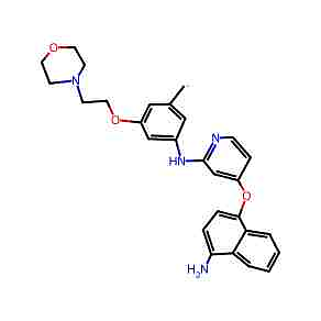 [CH2]c1cc(Nc2cc(Oc3ccc(N)c4ccccc34)ccn2)cc(OCCN2CCOCC2)c1